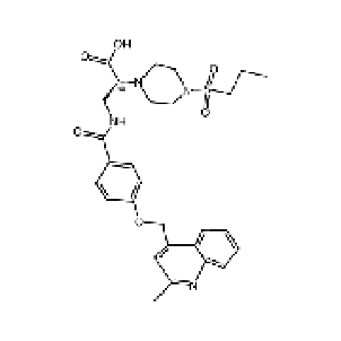 CCCS(=O)(=O)N1CCN([C@@H](CNC(=O)c2ccc(OCc3cc(C)nc4ccccc34)cc2)C(=O)O)CC1